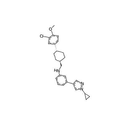 COc1ccc([C@H]2CC[C@H](CNc3cccc(-c4cnn(C5CC5)c4)c3)CC2)cc1Cl